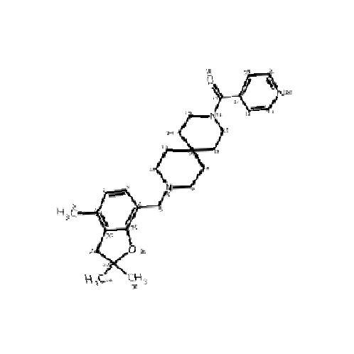 Cc1ccc(CN2CCC3(CC2)CCN(C(=O)c2ccncc2)CC3)c2c1CC(C)(C)O2